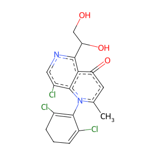 Cc1cc(=O)c2c(C(O)CO)ncc(Cl)c2n1C1=C(Cl)CCC=C1Cl